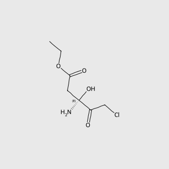 CCOC(=O)C[C@@](N)(O)C(=O)CCl